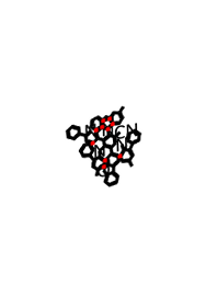 Cc1ccc2c(c1)c1ccccc1n2-c1c(C#N)c(-n2c3ccccc3c3cc(C)ccc32)c(-c2ccc(-c3ccccc3)nc2-c2ccccc2)c(-n2c3ccccc3c3cc(C)ccc32)c1-c1ccc2c(c1)oc1ccccc12